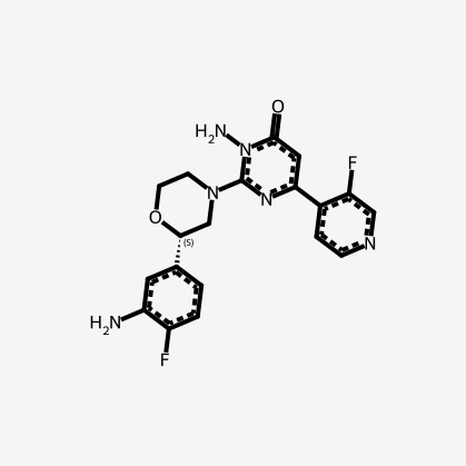 Nc1cc([C@H]2CN(c3nc(-c4ccncc4F)cc(=O)n3N)CCO2)ccc1F